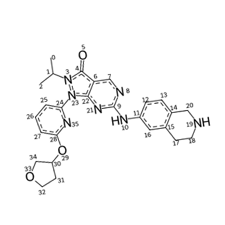 CC(C)n1c(=O)c2cnc(Nc3ccc4c(c3)CCNC4)nc2n1-c1cccc(OC2CCOC2)n1